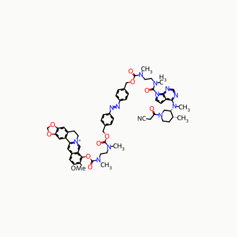 COc1ccc2cc3[n+](cc2c1OC(=O)N(C)CCN(C)C(=O)OCc1ccc(/N=N/c2ccc(COC(=O)N(C)CCN(C)C(=O)n4ccc5c(N(C)[C@H]6CN(C(=O)CC#N)CC[C@H]6C)ncnc54)cc2)cc1)CCc1cc2c(cc1-3)OCO2